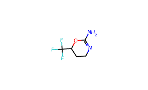 NC1=NCCC(C(F)(F)F)O1